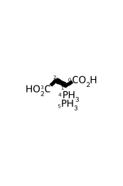 O=C(O)/C=C/C(=O)O.P.P